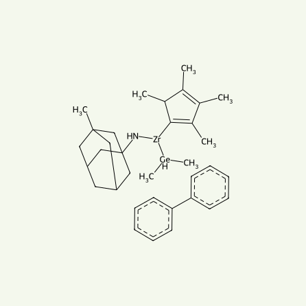 CC1=C(C)C(C)[C]([Zr]([NH]C23CC4CC(CC(C)(C4)C2)C3)[GeH]([CH3])[CH3])=C1C.c1ccc(-c2ccccc2)cc1